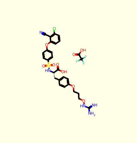 N#Cc1c(Cl)cccc1Oc1ccc(S(=O)(=O)N[C@@H](Cc2ccc(OCCCONC(=N)N)cc2)C(=O)O)cc1.O=C(O)C(F)(F)F